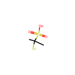 CC(C)(S)S(=O)(=O)O